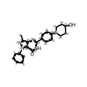 Cc1nn(-c2ccccc2)c2c(=O)[nH]c(-c3ccc(N4CCC(O)CC4)cc3)nc12